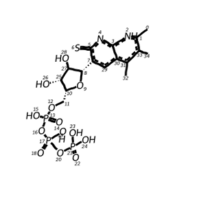 Cc1[nH]c2nc(=S)c([C@@H]3O[C@H](COP(=O)(O)OP(=O)(O)OP(=O)(O)O)[C@H](O)C3O)cc-2c(C)c1C